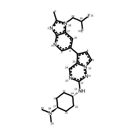 Cc1nc2ncc(-c3ccn4nc(N[C@H]5CC[C@H](N(C)C)CC5)ncc34)cc2n1CC(F)F